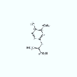 COc1cc(CC(C(=O)O)C(=O)O)ccc1O